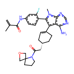 C=C(C)C(=O)Nc1ccc(-c2c(C3=CC[C@@H](CC(=O)N4CCCC45COC5)CC3)c3c(N)ncnc3n2C)c(F)c1